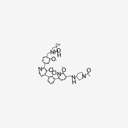 COc1cc(-c2nccc(-c3cccc(-c4ccc(CNC5CCN(C(C)=O)CC5)c(OC)n4)c3Cl)c2Cl)ccc1CNCC1(O)CC1